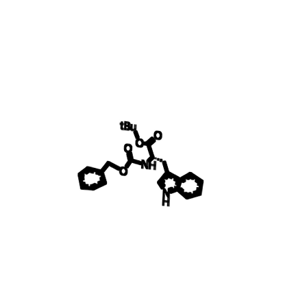 CC(C)(C)OC(=O)[C@H](Cc1c[nH]c2ccccc12)NC(=O)OCc1ccccc1